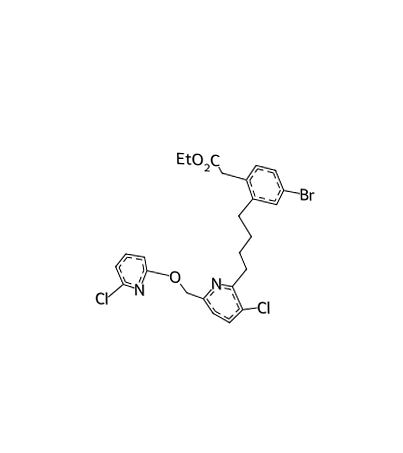 CCOC(=O)Cc1ccc(Br)cc1CCCCc1nc(COc2cccc(Cl)n2)ccc1Cl